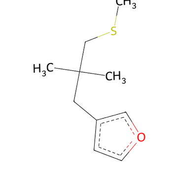 CSCC(C)(C)Cc1ccoc1